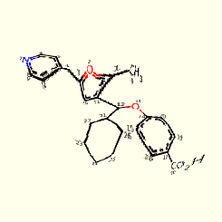 Cc1oc(-c2ccncc2)cc1C(Oc1ccc(C(=O)O)cc1)C1CCCCC1